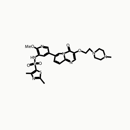 COc1ncc(-c2ccc3ncc(OCCN4CCN(C)CC4)c(=O)n3c2)cc1NS(=O)(=O)c1sc(C)nc1C